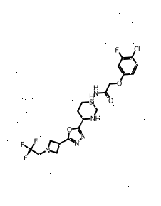 O=C(COc1ccc(Cl)c(F)c1)N[Si@H]1CC[C@H](c2nnc(C3CN(CC(F)(F)F)C3)o2)NC1